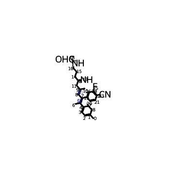 CC1=CC=C(/C(C)=C(/C=C(\C)CC(=N)CCCNC=O)c2ccc(C#N)c(F)c2)CC1